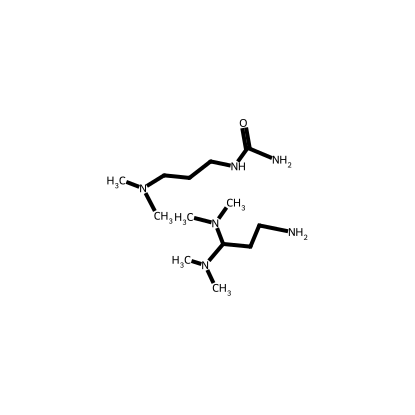 CN(C)C(CCN)N(C)C.CN(C)CCCNC(N)=O